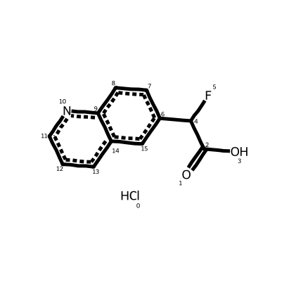 Cl.O=C(O)C(F)c1ccc2ncccc2c1